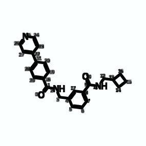 O=C(NCc1cccc(C(=O)NCC2CCC2)c1)c1ccc(-c2ccncc2)cc1